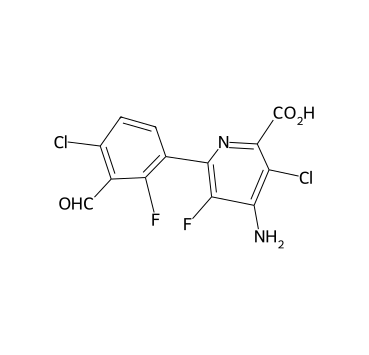 Nc1c(F)c(-c2ccc(Cl)c(C=O)c2F)nc(C(=O)O)c1Cl